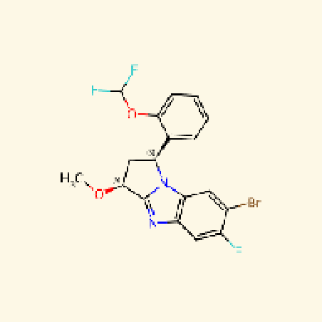 CO[C@H]1C[C@@H](c2ccccc2OC(F)F)n2c1nc1cc(F)c(Br)cc12